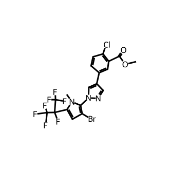 COC(=O)c1cc(-c2cnn(-c3c(Br)cc(C(F)(C(F)(F)F)C(F)(F)F)n3C)c2)ccc1Cl